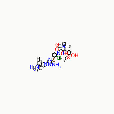 COc1cc(C2=CN(C)C(=C=O)C(C(=O)Nc3cccc(Sc4ncc(N5CCC(C)(C(C)N)CC5)nc4N)c3Cl)=C2O)ccc1O